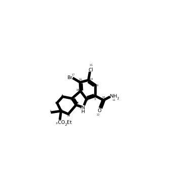 CCOC(=O)C1(C)CCc2c([nH]c3c(C(N)=O)cc(Cl)c(Br)c23)C1